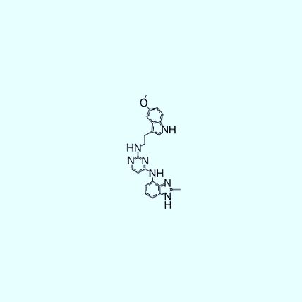 COc1ccc2[nH]cc(CCNc3nccc(Nc4cccc5[nH]c(C)nc45)n3)c2c1